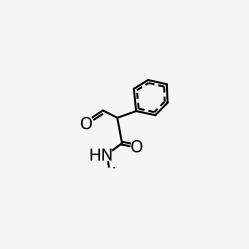 [CH2]NC(=O)C(C=O)c1ccccc1